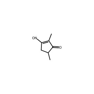 CC1=C(N=O)CC(C)C1=O